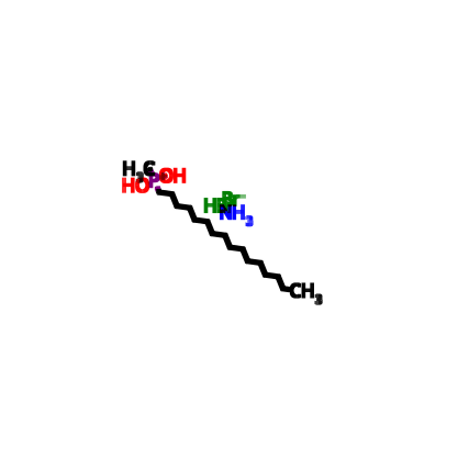 Br.CCCCCCCCCCCCCCCC[P+](C)(O)O.N.[Br-]